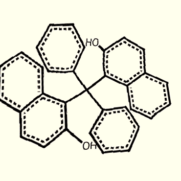 Oc1ccc2ccccc2c1C(c1ccccc1)(c1ccccc1)c1c(O)ccc2ccccc12